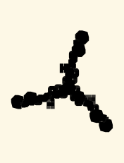 O=C(CC(=O)Oc1cc(OC(=O)CC(=O)NCCCOc2cccc(CN3CCCCC3)c2)cc(OC(=O)CC(=O)NCCCOc2cccc(CN3CCCCC3)c2)c1)NCCCOc1cccc(CN2CCCCC2)c1